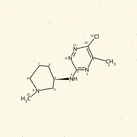 Cc1nc(N[C@@H]2CCCN(C)C2)nnc1Cl